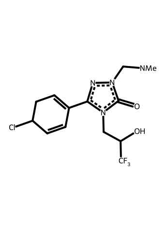 CNCn1nc(C2=CCC(Cl)C=C2)n(CC(O)C(F)(F)F)c1=O